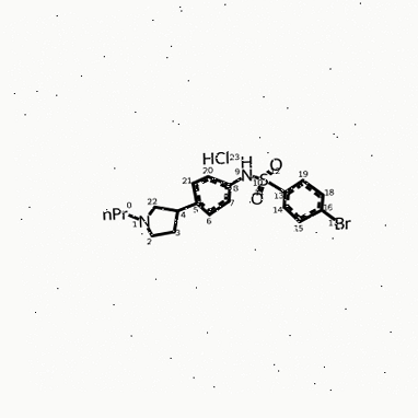 CCCN1CCC(c2ccc(NS(=O)(=O)c3ccc(Br)cc3)cc2)C1.Cl